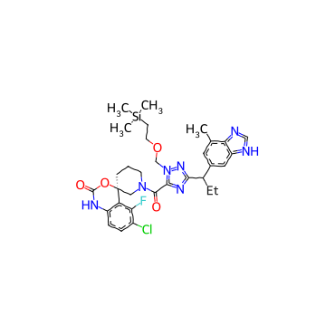 CCC(c1cc(C)c2nc[nH]c2c1)c1nc(C(=O)N2CCC[C@@]3(C2)OC(=O)Nc2ccc(Cl)c(F)c23)n(COCC[Si](C)(C)C)n1